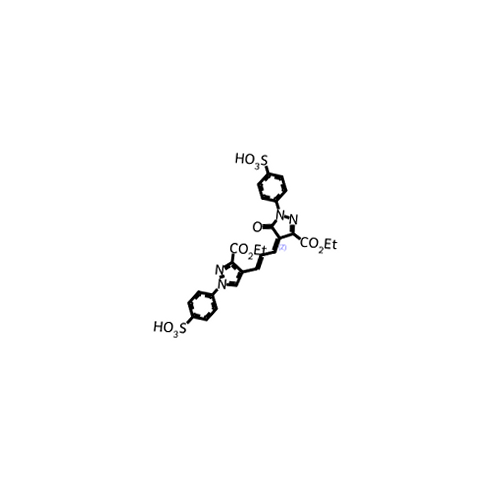 CCOC(=O)C1=NN(c2ccc(S(=O)(=O)O)cc2)C(=O)/C1=C\C=Cc1cn(-c2ccc(S(=O)(=O)O)cc2)nc1C(=O)OCC